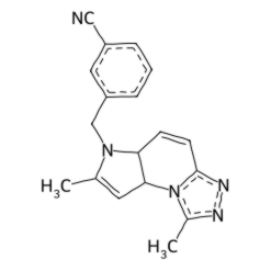 CC1=CC2C(C=Cc3nnc(C)n32)N1Cc1cccc(C#N)c1